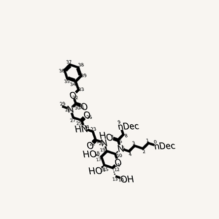 CCCCCCCCCCCCCCN(C(=O)CCCCCCCCCCC)[C@@H]1O[C@H](CO)[C@@H](O)[C@H](O)[C@H]1NC(=O)CNC(=O)CN(C)C(=O)OCc1ccccc1